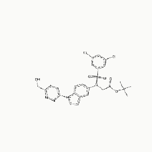 CC(C)(C)OC(=O)CN(c1ccc2c(ccn2-c2ccc(CO)nn2)c1)S(=O)(=O)c1cc(Cl)cc(Cl)c1